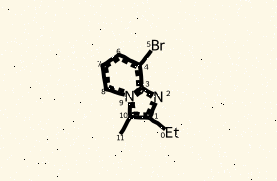 CCc1nc2c(Br)cccn2c1C